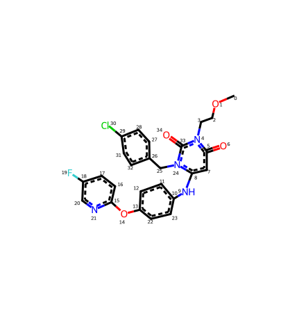 COCCn1c(=O)cc(Nc2ccc(Oc3ccc(F)cn3)cc2)n(Cc2ccc(Cl)cc2)c1=O